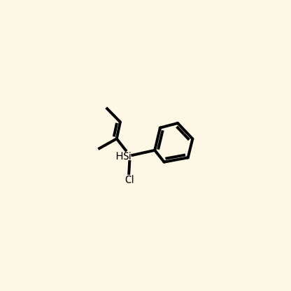 CC=C(C)[SiH](Cl)c1ccccc1